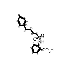 O=C(O)c1ccccc1NS(=O)(=O)CCCCc1ccccc1